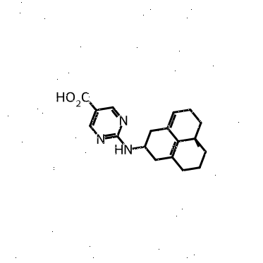 CC12CCC=C3CC(Nc4ncc(C(=O)O)cn4)CC(=C31)CCC2